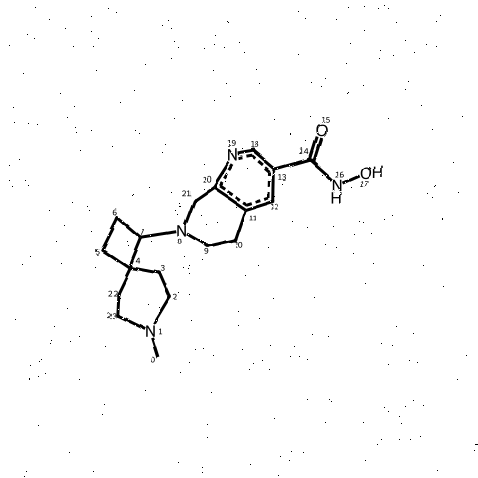 CN1CCC2(CCC2N2CCc3cc(C(=O)NO)cnc3C2)CC1